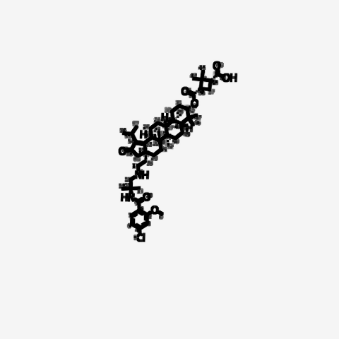 COc1cc(Cl)ccc1C(=O)NC(C)(C)CNCC[C@@]12CC[C@]3(C)[C@H](CC[C@@H]4[C@@]5(C)CC[C@H](OC(=O)[C@H]6C[C@@H](C(=O)O)C6(C)C)C(C)(C)[C@@H]5CC[C@]43C)C1=C(C(C)C)C(=O)C2